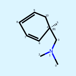 CN(C)C[C@@]1(C)C=CC=CC1